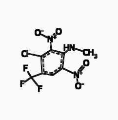 CNc1c([N+](=O)[O-])cc(C(F)(F)F)c(Cl)c1[N+](=O)[O-]